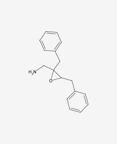 NCC1(Cc2ccccc2)OC1Cc1ccccc1